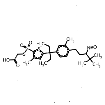 CCC(CC)(c1ccc(CCC(N=O)C(C)(C)C)c(C)c1)c1cc(C)c(S(=O)(=O)SCC(=O)O)s1